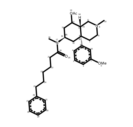 COc1cccc([C@@]23CCN(C)C[C@H]2C(OC(C)=O)C[C@H](N(C)C(=O)CCCCCc2ccccc2)C3)c1